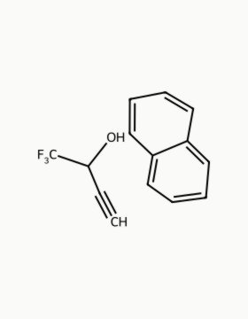 C#CC(O)C(F)(F)F.c1ccc2ccccc2c1